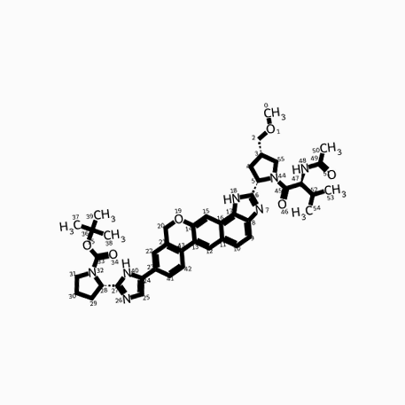 COC[C@H]1C[C@@H](c2nc3ccc4cc5c(cc4c3[nH]2)OCc2cc(-c3cnc([C@@H]4CCCN4C(=O)OC(C)(C)C)[nH]3)ccc2-5)N(C(=O)[C@@H](NC(C)=O)C(C)C)C1